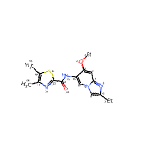 CCOc1cc2nc(CC)cn2cc1NC(=O)c1nc(C)c(C)s1